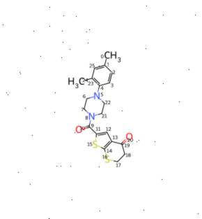 Cc1ccc(N2CCN(C(=O)c3cc4c(s3)SCCC4=O)CC2)c(C)c1